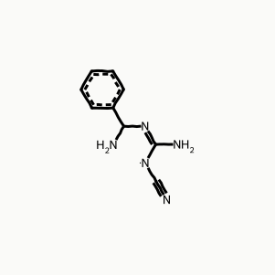 N#C[N]C(N)=NC(N)c1ccccc1